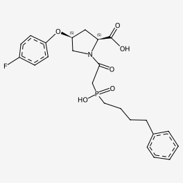 O=C(O)[C@@H]1C[C@H](Oc2ccc(F)cc2)CN1C(=O)CP(=O)(O)CCCCc1ccccc1